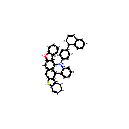 C1=Cc2sc3cccc(-c4ccccc4N(c4ccc(C5CC=Cc6ccccc65)cc4)c4cccc5oc6ccccc6c45)c3c2CC1